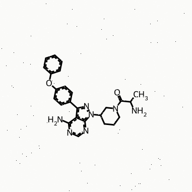 CC(N)C(=O)N1CCCC(n2nc(-c3ccc(Oc4ccccc4)cc3)c3c(N)ncnc32)C1